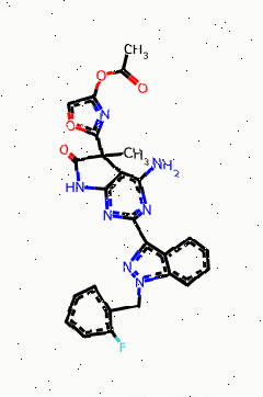 CC(=O)Oc1coc(C2(C)C(=O)Nc3nc(-c4nn(Cc5ccccc5F)c5ccccc45)nc(N)c32)n1